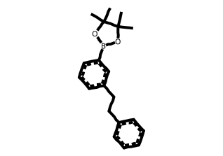 CC1(C)OB(c2cccc(CCc3ccccc3)c2)OC1(C)C